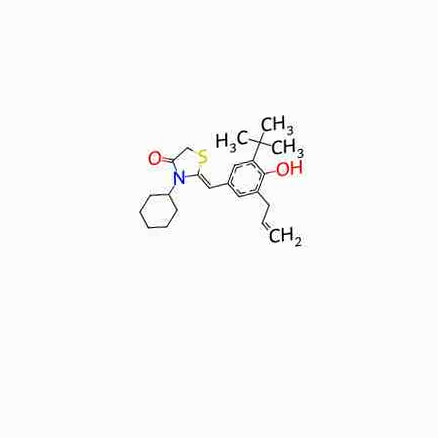 C=CCc1cc(C=C2SCC(=O)N2C2CCCCC2)cc(C(C)(C)C)c1O